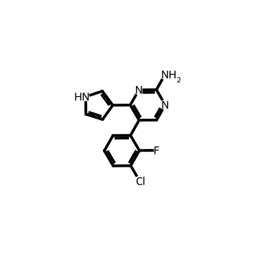 Nc1ncc(-c2cccc(Cl)c2F)c(-c2cc[nH]c2)n1